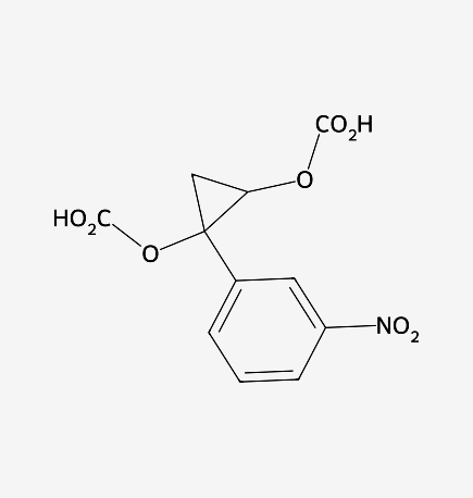 O=C(O)OC1CC1(OC(=O)O)c1cccc([N+](=O)[O-])c1